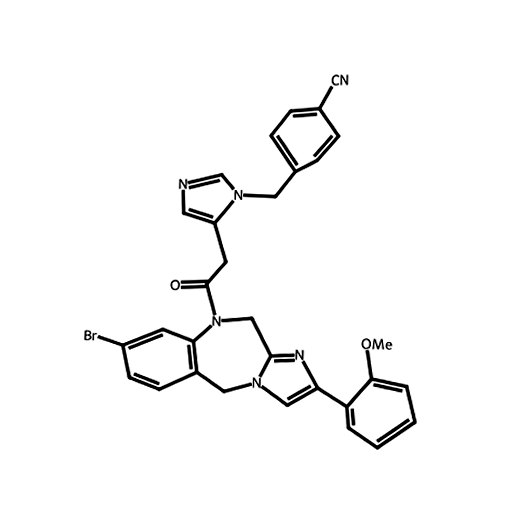 COc1ccccc1-c1cn2c(n1)CN(C(=O)Cc1cncn1Cc1ccc(C#N)cc1)c1cc(Br)ccc1C2